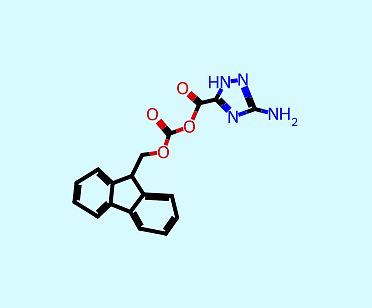 Nc1n[nH]c(C(=O)OC(=O)OCC2c3ccccc3-c3ccccc32)n1